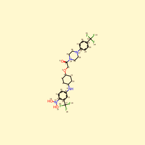 O=C(COC1CCC(Nc2ccc(N(O)O)c(C(F)(F)F)c2)CC1)N1CCN(c2ccc(C(F)(F)F)cc2)CC1